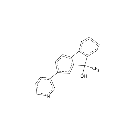 OC1(C(F)(F)F)c2ccccc2-c2ccc(-c3cccnc3)cc21